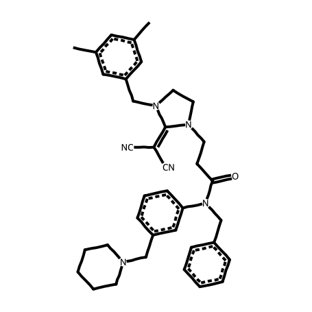 Cc1cc(C)cc(CN2CCN(CCC(=O)N(Cc3ccccc3)c3cccc(CN4CCCCC4)c3)C2=C(C#N)C#N)c1